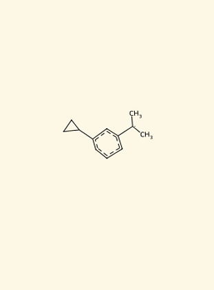 C[C](C)c1cccc(C2CC2)c1